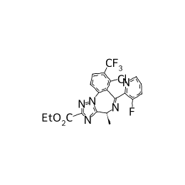 CCOC(=O)c1nc2n(n1)-c1ccc(C(F)(F)F)c(Cl)c1C(c1ncccc1F)=N[C@H]2C